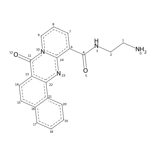 NCCNC(=O)c1cccn2c(=O)c3ccc4ccccc4c3nc12